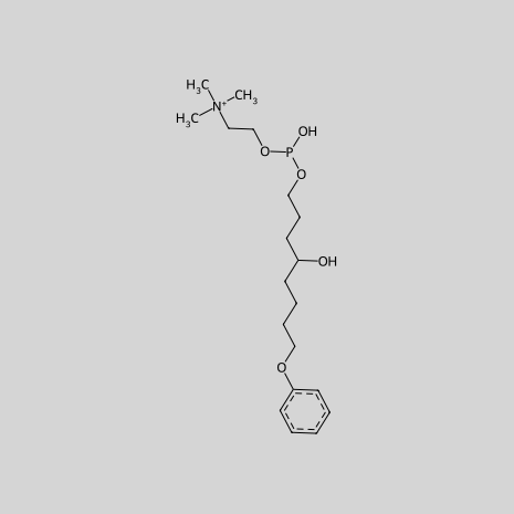 C[N+](C)(C)CCOP(O)OCCCC(O)CCCCOc1ccccc1